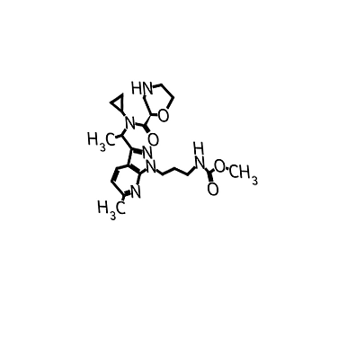 COC(=O)NCCCn1nc(C(C)N(C(=O)[C@H]2CNCCO2)C2CC2)c2ccc(C)nc21